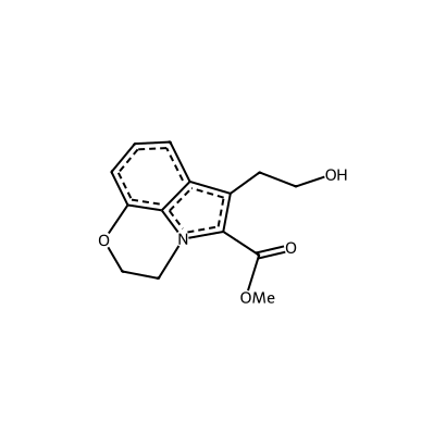 COC(=O)c1c(CCO)c2cccc3c2n1CCO3